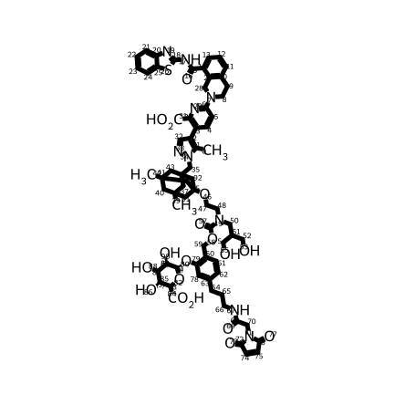 Cc1c(-c2ccc(N3CCc4cccc(C(=O)Nc5nc6ccccc6s5)c4C3)nc2C(=O)O)cnn1CC12CC3(C)CC(C)(C1)CC(OCCN(CC(CO)CO)C(=O)OCc1ccc(CCCNC(=O)CN4C(=O)C=CC4=O)cc1O[C@@H]1OC(C(=O)O)[C@@H](O)C(O)[C@H]1O)(C3)C2